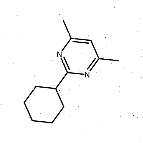 Cc1cc(C)nc(C2CCCCC2)n1